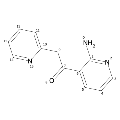 Nc1ncccc1C(=O)Cc1ccccn1